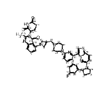 Cc1nc2cccc(N3CC(CN4CCN(c5cccc(-c6cnc7ccc(N8CCCC8c8cccc(F)c8)nn67)n5)CC4)C3)c2c(=O)n1C1CCC(=O)NC1=O